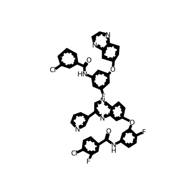 O=C(Nc1cc(F)cc(Oc2ccc3nccnc3c2)c1)c1cccc(Cl)c1.O=C(Nc1ccc(F)c(Oc2ccc3ncc(-c4cccnc4)nc3c2)c1)c1ccc(Cl)c(F)c1